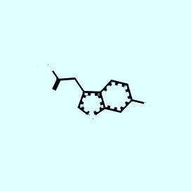 NC(=O)Cc1c[nH]c2cc(Br)ccc12